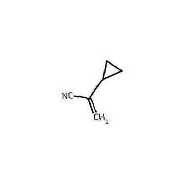 C=C(C#N)C1CC1